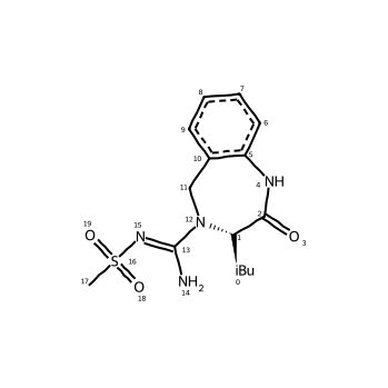 CC[C@H](C)[C@H]1C(=O)Nc2ccccc2CN1/C(N)=N/S(C)(=O)=O